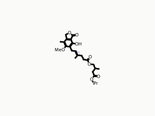 [CH2]C([CH2])OC(=O)CC(C)COC(=O)CC/C(C)=C/Cc1c(O)c2c(c(C)c1OC)COC2=O